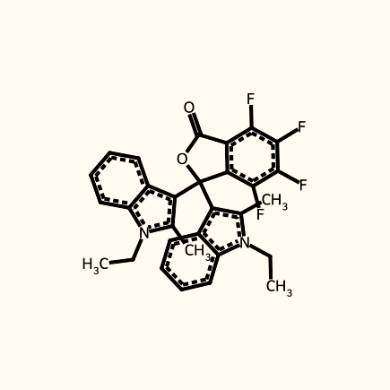 CCn1c(C)c(C2(c3c(C)n(CC)c4ccccc34)OC(=O)c3c(F)c(F)c(F)c(F)c32)c2ccccc21